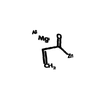 C=C[C](=O)[Zn].[Al].[Mg]